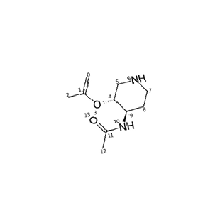 C=C(C)O[C@@H]1CNCC[C@H]1NC(C)=O